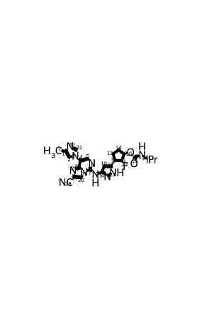 Cc1cn(-c2cnc(Nc3cc([C@H]4CC[C@@H](OC(=O)NC(C)C)[C@H]4F)[nH]n3)n3cc(C#N)nc23)cn1